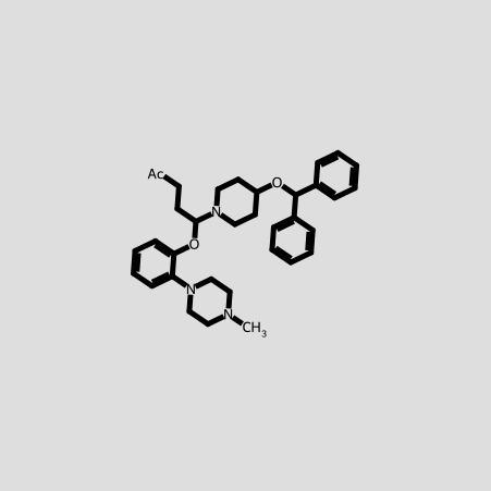 CC(=O)CCC(Oc1ccccc1N1CCN(C)CC1)N1CCC(OC(c2ccccc2)c2ccccc2)CC1